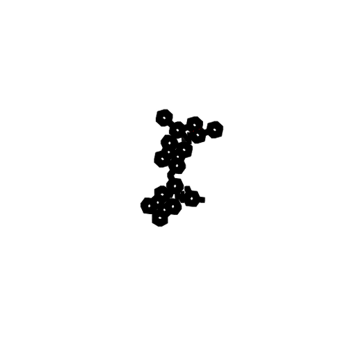 Cc1ccc(N(c2ccc3c(c2)C2(c4ccccc4-c4ccccc42)c2ccccc2-3)c2ccc(Cc3ccc4c(c3)C3(c5ccccc5-c5ccccc53)c3cc(N(c5ccc(-c6ccccc6)cc5)c5ccc(-c6ccccc6)cc5-c5ccccc5)ccc3-4)cc2C)c(C)c1